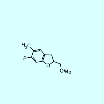 COCC1Cc2cc(C)c(F)cc2O1